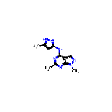 Cc1nc(Nc2cc(C)[nH]n2)c2cnn(C)c2n1